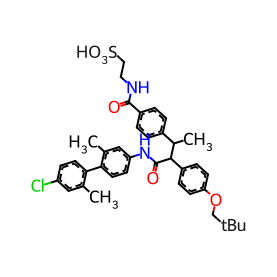 Cc1cc(Cl)ccc1-c1ccc(NC(=O)C(c2ccc(OCC(C)(C)C)cc2)C(C)c2ccc(C(=O)NCCS(=O)(=O)O)cc2)cc1C